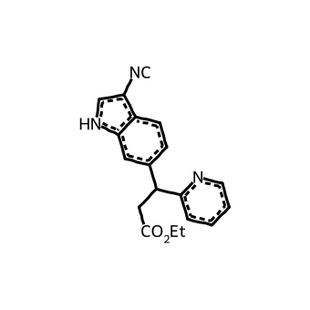 [C-]#[N+]c1c[nH]c2cc(C(CC(=O)OCC)c3ccccn3)ccc12